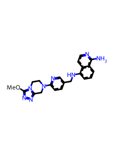 COc1nnc2n1CCN(c1ccc(CNc3cccc4c(N)nccc34)cn1)C2